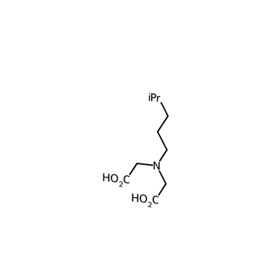 CC(C)CCCN(CC(=O)O)CC(=O)O